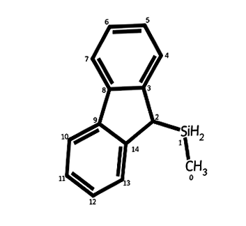 C[SiH2]C1c2ccccc2-c2ccccc21